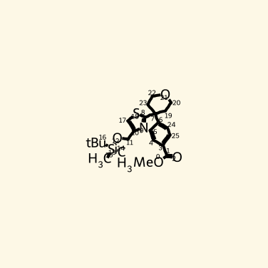 COC(=O)c1ccc(C2(c3nc(CO[Si](C)(C)C(C)(C)C)cs3)CCOCC2)cc1